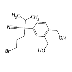 CC(C)C(C#N)(CCCBr)c1ccc(CO)c(CO)c1